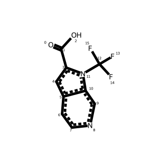 O=C(O)c1cc2ccncc2n1C(F)(F)F